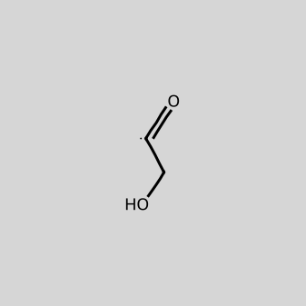 O=[C]CO